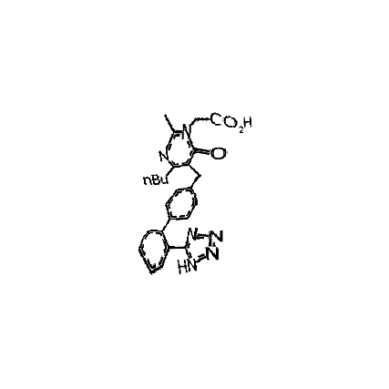 CCCCc1nc(C)n(CC(=O)O)c(=O)c1Cc1ccc(-c2ccccc2-c2nnn[nH]2)cc1